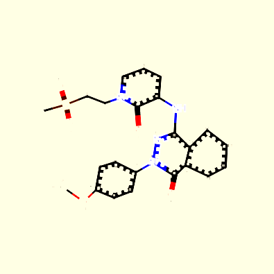 CS(=O)(=O)CCn1cccc(Nc2nn(-c3ccc(OC(F)(F)F)cc3)c(=O)c3ccccc23)c1=O